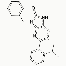 CC(C)c1ccccc1-c1ncc2[nH]c(=O)n(Cc3ccccc3)c2n1